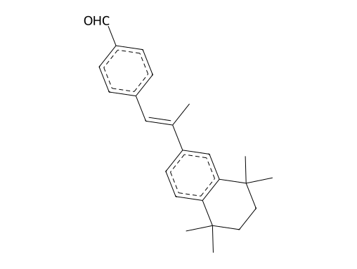 C/C(=C\c1ccc(C=O)cc1)c1ccc2c(c1)C(C)(C)CCC2(C)C